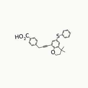 CC1(C)CCOc2c(C#CCc3ccc(C(=O)O)cc3)cc(Sc3ccccc3)cc21